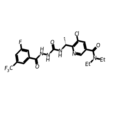 CCN(CC)C(=O)c1cnc([C@@H](C)NC(=O)NNC(=O)c2cc(F)cc(C(F)(F)F)c2)c(Cl)c1